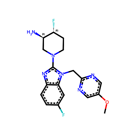 COc1cnc(Cn2c(N3CC[C@@H](F)[C@H](N)C3)nc3ccc(F)cc32)nc1